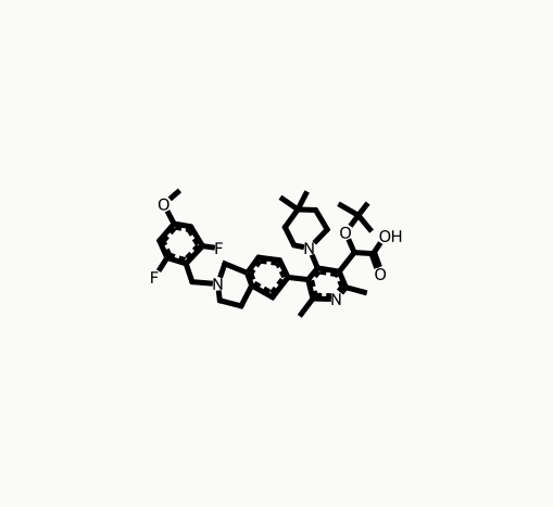 COc1cc(F)c(CN2CCc3cc(-c4c(C)nc(C)c(C(OC(C)(C)C)C(=O)O)c4N4CCC(C)(C)CC4)ccc3C2)c(F)c1